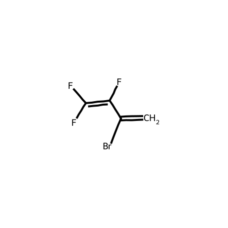 C=C(Br)C(F)=C(F)F